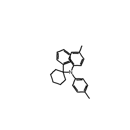 Cc1ccc(N(c2ccc(C)cc2)C2(c3ccccc3)CCCCC2)cc1